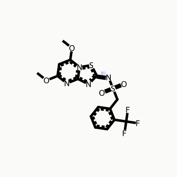 COc1cc(OC)n2s/c(=N/S(=O)(=O)Cc3ccccc3C(F)(F)F)nc2n1